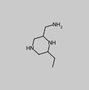 CCC1CNCC(CN)N1